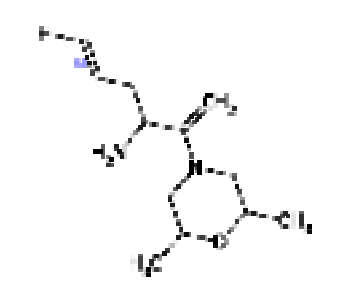 C=C(C(N)C/C=C/F)N1CC(C)OC(C)C1